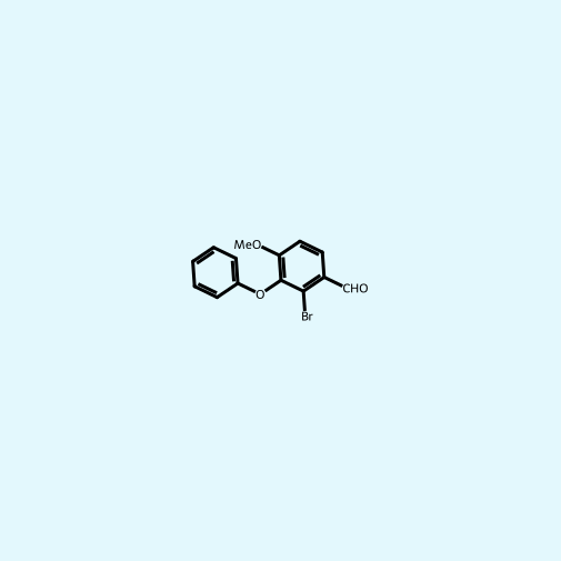 COc1ccc(C=O)c(Br)c1Oc1ccccc1